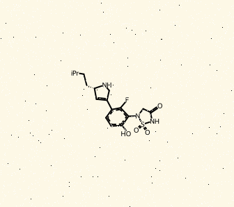 CC(C)CC[C@H]1C=C(c2ccc(O)c(N3CC(=O)NS3(=O)=O)c2F)CN1